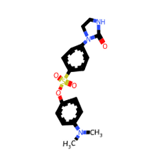 CN(C)c1ccc(OS(=O)(=O)c2ccc(N3CCNC3=O)cc2)cc1